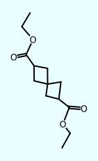 CCOC(=O)C1CC2(C1)CC(C(=O)OCC)C2